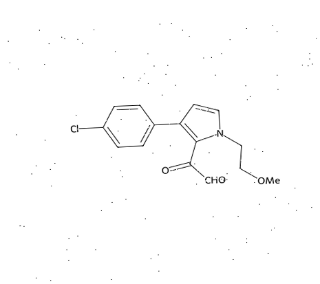 COCCn1ccc(-c2ccc(Cl)cc2)c1C(=O)[C]=O